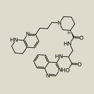 O=C(O)C(CNC(=O)[C@@H]1CCCN(CCCc2ccc3c(n2)NCCC3)C1)Nc1ncnc2ccccc12